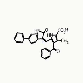 Cc1c(C(=O)O)[nH]c(/C=C2\C(=O)Nc3cc(-c4ccccc4)ccc32)c1C(=O)c1ccccc1